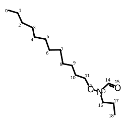 CCCCCCCCCCCCON(C=O)CCC